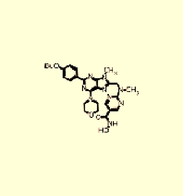 CC(C)COc1ccc(-c2nc(N3CCOCC3)c3nc(CN(C)c4ncc(C(=O)NO)cn4)n(C)c3n2)cc1